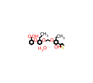 CCCc1c(OCCCOc2cc(O)c(-c3ccsc3)cc2CC)cccc1Oc1ccccc1C(=O)O.O